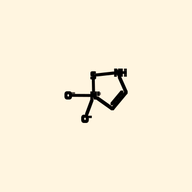 [O-][N+]1([O-])C=CNS1